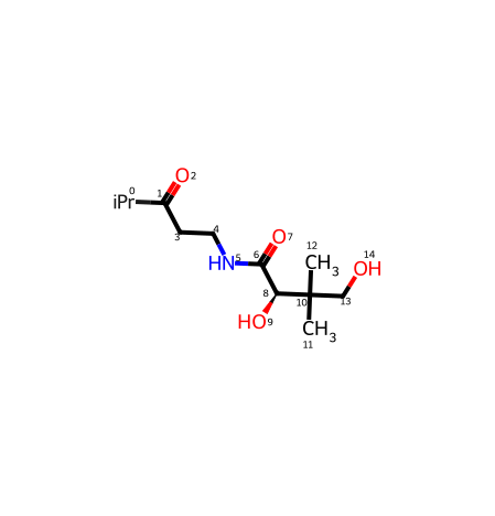 CC(C)C(=O)CCNC(=O)[C@H](O)C(C)(C)CO